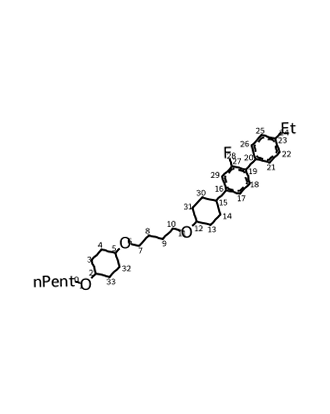 [CH2+][CH-]CCCOC1CCC(OCCCCOC2CCC(c3ccc(-c4ccc(CC)cc4)c(F)c3)CC2)CC1